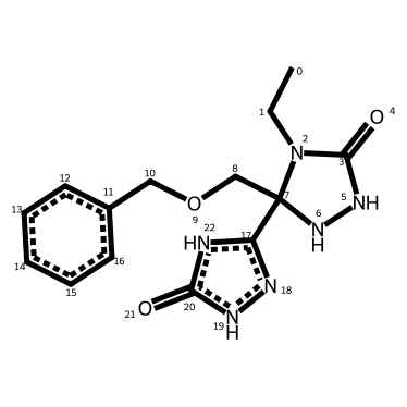 CCN1C(=O)NNC1(COCc1ccccc1)c1n[nH]c(=O)[nH]1